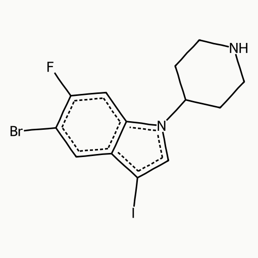 Fc1cc2c(cc1Br)c(I)cn2C1CCNCC1